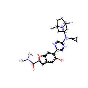 CN(C)C(=O)c1cc2cc(O)c(-c3cnc(N(C4CC4)C4C[C@H]5CC[C@@H](C4)N5)cn3)cc2o1